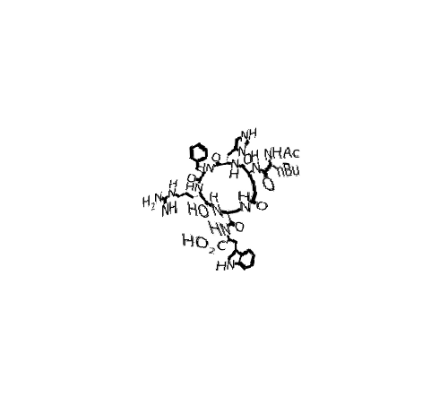 CCCC[C@H](NC(C)=O)C(=O)N[C@H]1CCC(=O)NC[C@@H](C(=O)N[C@@H](Cc2c[nH]c3ccccc23)C(=O)O)NC(O)[C@H](CCCNC(=N)N)NC(=O)[C@@H](Cc2ccccc2)NC(=O)[C@H](Cc2c[nH]cn2)NC1=O